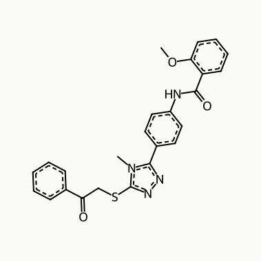 COc1ccccc1C(=O)Nc1ccc(-c2nnc(SCC(=O)c3ccccc3)n2C)cc1